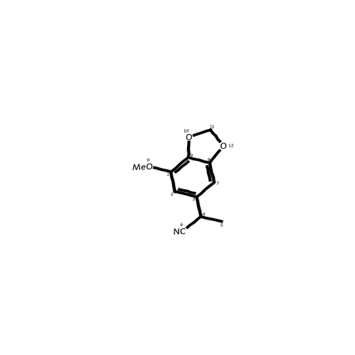 COc1cc(C(C)C#N)cc2c1OCO2